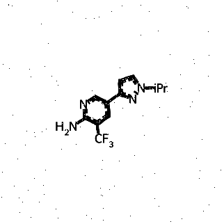 CC(C)n1ccc(-c2cnc(N)c(C(F)(F)F)c2)n1